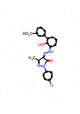 CC1=NN(c2ccc(Cl)cc2)C(=O)C1=NNc1cccc(-c2cccc(C(=O)O)c2)c1O